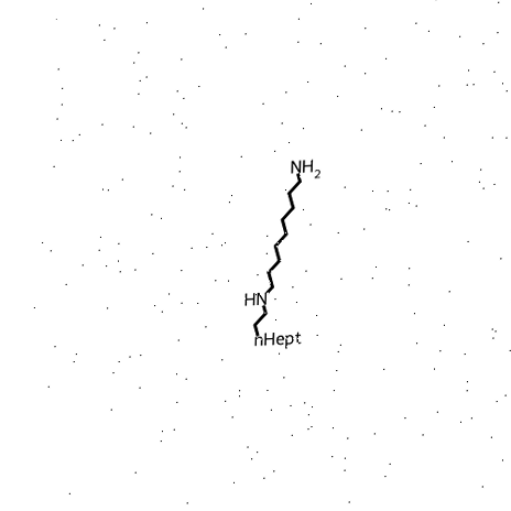 CCCCCCCCCNCCCCCCCCCN